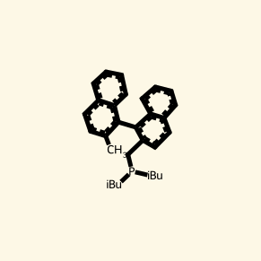 CCC(C)P(Cc1ccc2ccccc2c1-c1c(C)ccc2ccccc12)C(C)CC